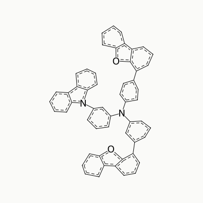 c1cc(-c2cccc3c2oc2ccccc23)cc(N(c2ccc(-c3cccc4c3oc3ccccc34)cc2)c2cccc(-n3c4ccccc4c4ccccc43)c2)c1